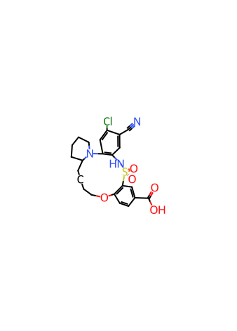 N#Cc1cc2c(cc1Cl)N1CCCCC1CCCCOc1ccc(C(=O)O)cc1S(=O)(=O)N2